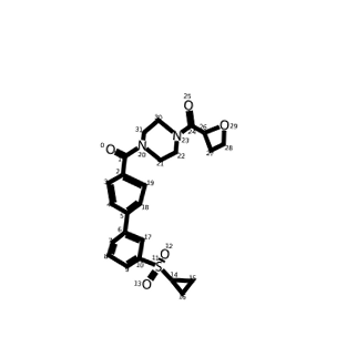 O=C(c1ccc(-c2cccc(S(=O)(=O)C3CC3)c2)cc1)N1CCN(C(=O)C2CCO2)CC1